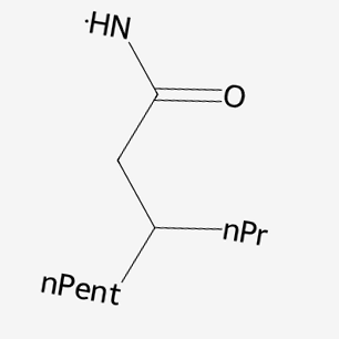 CCCCCC(CCC)CC([NH])=O